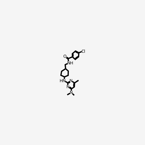 Cc1cc(N(C)C)nc(NC2CCC(CNC(=O)c3ccc(Cl)cc3)CC2)n1